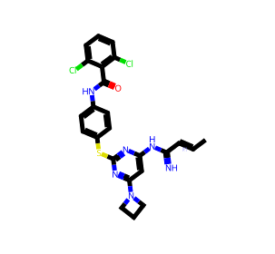 C/C=C/C(=N)Nc1cc(N2CCC2)nc(Sc2ccc(NC(=O)c3c(Cl)cccc3Cl)cc2)n1